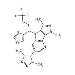 Cc1nnn(C)c1-c1cnc2c3c(c(C)nn3C)n(C(CCC(F)(F)F)c3cocn3)c2c1